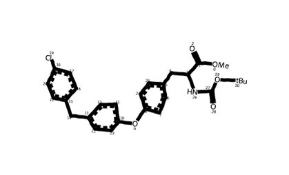 COC(=O)C(Cc1ccc(Oc2ccc(Cc3ccc(Cl)cc3)cc2)cc1)NC(=O)OC(C)(C)C